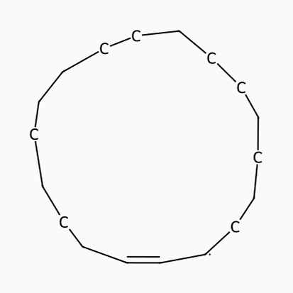 [CH]1C=CCCCCCCCCCCCCCCC1